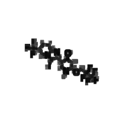 Cn1cc(-c2nc3ccc(C(F)(F)F)cn3c2I)c(=O)cc1OCC(F)(F)C(F)(F)F